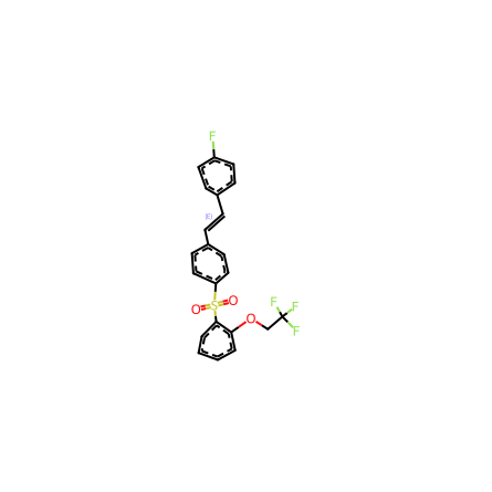 O=S(=O)(c1ccc(/C=C/c2ccc(F)cc2)cc1)c1ccccc1OCC(F)(F)F